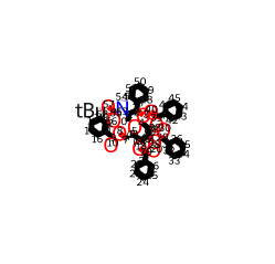 CC(C(OC1O[C@H](COC(=O)c2ccccc2)[C@H](OC(=O)c2ccccc2)[C@H](OC(=O)c2ccccc2)[C@H]1OC(=O)c1ccccc1)c1ccccc1)N(C)C(=O)OC(C)(C)C